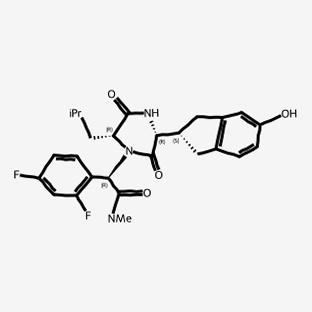 CNC(=O)[C@@H](c1ccc(F)cc1F)N1C(=O)[C@@H]([C@H]2Cc3ccc(O)cc3C2)NC(=O)[C@H]1CC(C)C